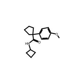 COc1ccc(C2(C(=O)NC3CCC3)CCCC2)cc1